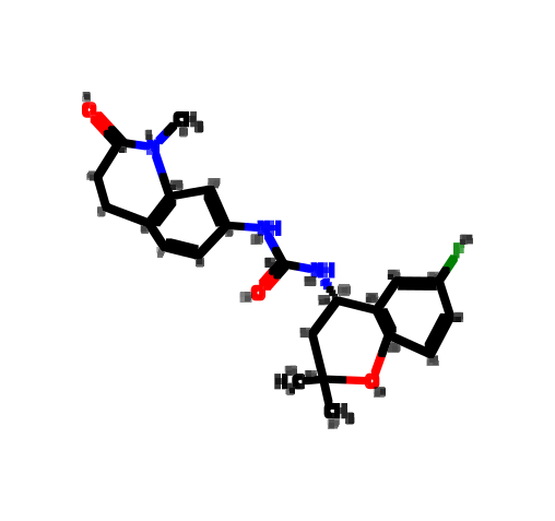 CN1C(=O)CCc2ccc(NC(=O)N[C@H]3CC(C)(C)Oc4ccc(F)cc43)cc21